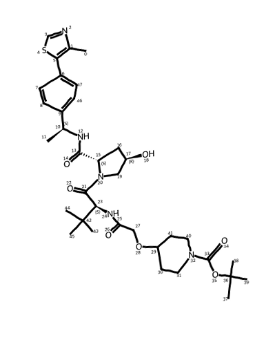 Cc1ncsc1-c1ccc([C@H](C)NC(=O)[C@@H]2C[C@@H](O)CN2C(=O)[C@@H](NC(=O)COC2CCN(C(=O)OC(C)(C)C)CC2)C(C)(C)C)cc1